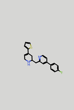 Fc1ccc(-c2ccnc(CC3CC(c4cccs4)=CCN3)c2)cc1